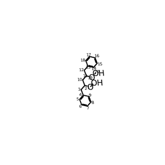 OOC(Cc1ccccc1)CC(Cc1ccccc1)OO